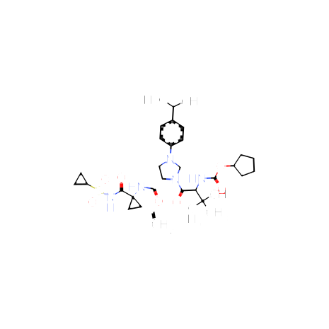 C=C[C@@H]1C[C@]1(NC(=O)[C@@H]1CN(c2ccc(C(C)C)cc2)CN1C(=O)C(NC(=O)OC1CCCC1)C(C)(C)C)C(=O)NS(=O)(=O)C1CC1